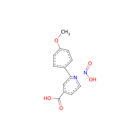 COc1ccc(-c2cc(C(=O)O)ccn2)cc1.O=NO